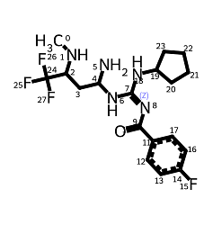 CNC(CC(N)N/C(=N\C(=O)c1ccc(F)cc1)NC1CCCC1)C(F)(F)F